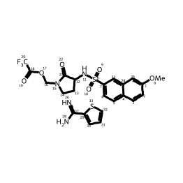 COc1ccc2ccc(S(=O)(=O)NC3CCN(COC(=O)C(F)(F)F)C3=O)cc2c1.N=C(N)c1cccs1